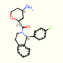 C[C@@]1(C(=O)N2CCc3ccccc3[C@@H]2c2ccc(F)cc2)C[C@H](N)CCO1